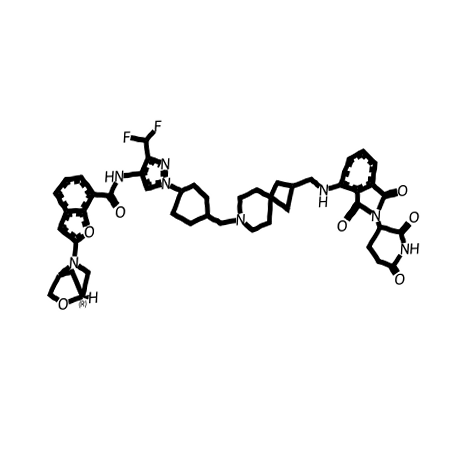 O=C1CCC(N2C(=O)c3cccc(NCC4CC5(CCN(CC6CCC(n7cc(NC(=O)c8cccc9cc(N%10C[C@H]%11CC%10CO%11)oc89)c(C(F)F)n7)CC6)CC5)C4)c3C2=O)C(=O)N1